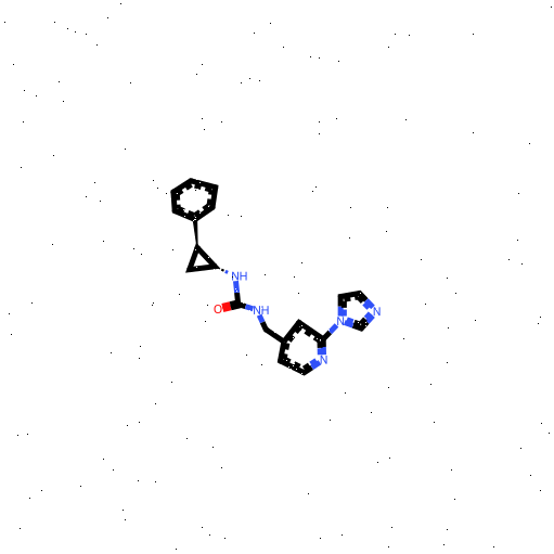 O=C(NCc1ccnc(-n2ccnc2)c1)N[C@@H]1C[C@H]1c1ccccc1